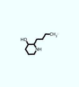 [CH2]CCCC1NCCCC1O